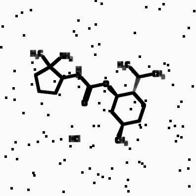 CC(C)[C@@H]1CC[C@@H](C)C[C@H]1OC(=O)NC1CCCC1(C)N.Cl